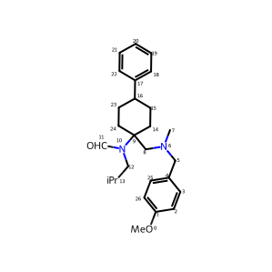 COc1ccc(CN(C)CC2(N(C=O)CC(C)C)CCC(c3ccccc3)CC2)cc1